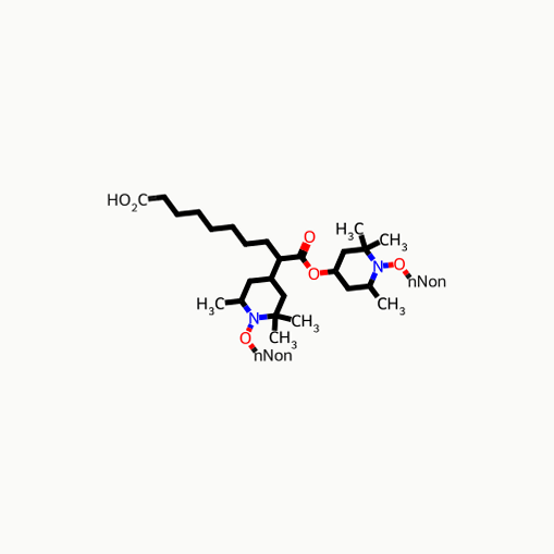 CCCCCCCCCON1C(C)CC(OC(=O)C(CCCCCCCC(=O)O)C2CC(C)N(OCCCCCCCCC)C(C)(C)C2)CC1(C)C